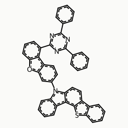 c1ccc(-c2nc(-c3ccccc3)nc(-c3cccc4oc5cc(-n6c7ccccc7c7c8sc9ccccc9c8ccc76)ccc5c34)n2)cc1